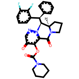 O=C(Oc1c2n(ncc1=O)[C@@H]([C@H](c1ccccc1)c1cccc(F)c1F)[C@H]1CCCN1C2=O)N1CCCCC1